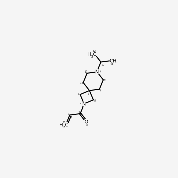 C=CC(=O)N1CC2(CCN(C(C)C)CC2)C1